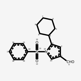 O=Cc1cc(C2CCCCC2)n(S(=O)(=O)c2ccccc2)c1